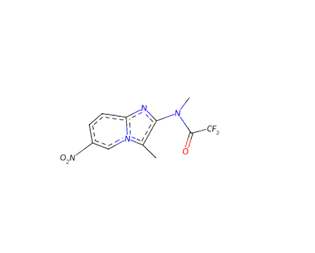 Cc1c(N(C)C(=O)C(F)(F)F)nc2ccc([N+](=O)[O-])cn12